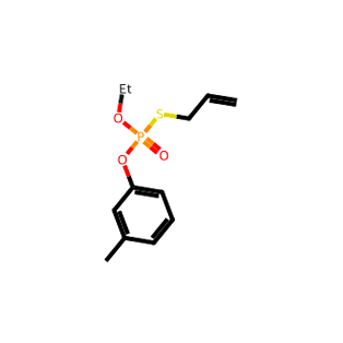 C=CCSP(=O)(OCC)Oc1cccc(C)c1